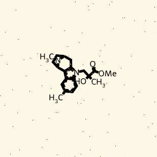 COC(=O)C(C)(O)Cn1c2c(c3cc(C)ccc31)C1CCC(C2)N1C